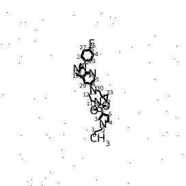 CCCn1ccc(S(=O)(=O)N2CCN(c3cnc4c(cnn4-c4ccc(F)cc4)c3)CC23CC3)c1